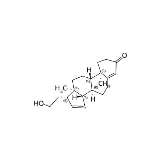 C[C@]12CC[C@H]3[C@@H](CCC4=CC(=O)CC[C@@]43C)[C@@H]1C=C[C@@H]2CCO